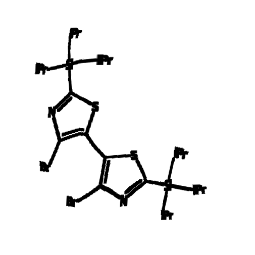 CC(C)[Si](c1nc(Br)c(-c2sc([Si](C(C)C)(C(C)C)C(C)C)nc2Br)s1)(C(C)C)C(C)C